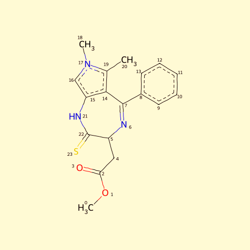 COC(=O)CC1N=C(c2ccccc2)c2c(cn(C)c2C)NC1=S